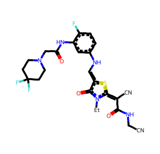 CCn1c(=C(C#N)C(=O)NCC#N)sc(=CNc2ccc(F)c(NC(=O)CN3CCC(F)(F)CC3)c2)c1=O